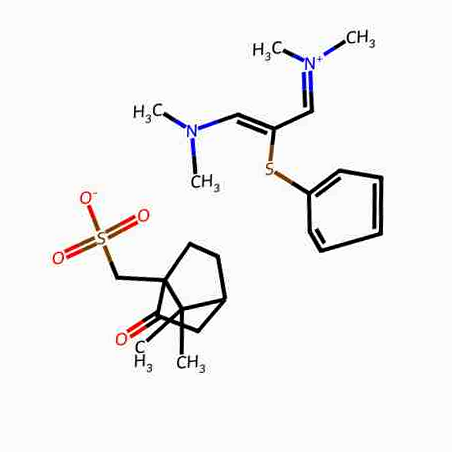 CC1(C)C2CCC1(CS(=O)(=O)[O-])C(=O)C2.CN(C)/C=C(/C=[N+](C)C)Sc1ccccc1